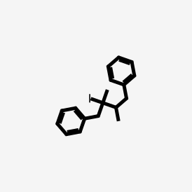 CC(Cc1ccccc1)C(C)(I)Cc1ccccc1